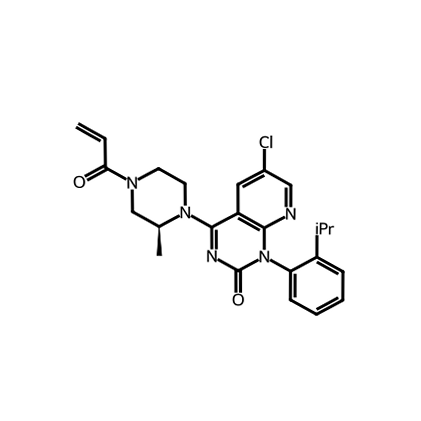 C=CC(=O)N1CCN(c2nc(=O)n(-c3ccccc3C(C)C)c3ncc(Cl)cc23)[C@@H](C)C1